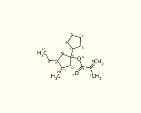 C=C(C)C(=O)OC1(C2CCCC2)CC(C)C(CC)C1